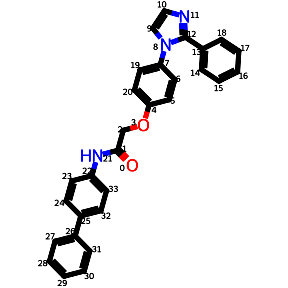 O=C(COc1ccc(-n2ccnc2-c2ccccc2)cc1)Nc1ccc(-c2ccccc2)cc1